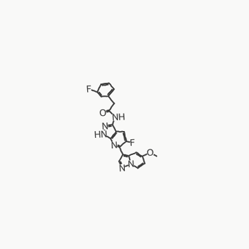 COc1ccn2ncc(-c3nc4[nH]nc(NC(=O)Cc5cccc(F)c5)c4cc3F)c2c1